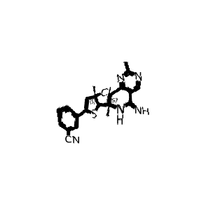 Cc1ncc2c(n1)C[C@@](C)(C1SC(c3cccc(C#N)c3)=C[C@]1(C)Cl)NC2=N